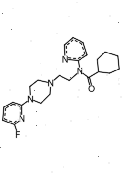 O=C(C1CCCCC1)N(CCN1CCN(c2cccc(F)n2)CC1)c1ccccn1